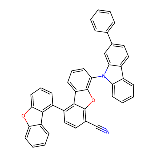 N#Cc1ccc(-c2cccc3oc4ccccc4c23)c2c1oc1c(-n3c4ccccc4c4ccc(-c5ccccc5)cc43)cccc12